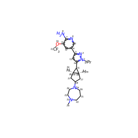 CC(C)n1nc(-c2cnc(N)c(OC(F)(F)F)c2)cc1C1[C@H]2CC(N3CCCN(C)CC3)C[C@@H]12